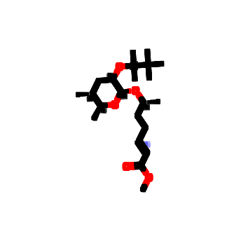 COC(=O)/C=C/CC[C@@H](C)O[C@@H]1O[C@@H](C)[C@H](C)C[C@H]1O[Si](C)(C)C(C)(C)C